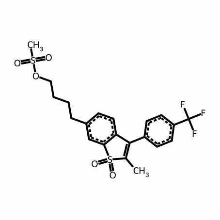 CC1=C(c2ccc(C(F)(F)F)cc2)c2ccc(CCCCOS(C)(=O)=O)cc2S1(=O)=O